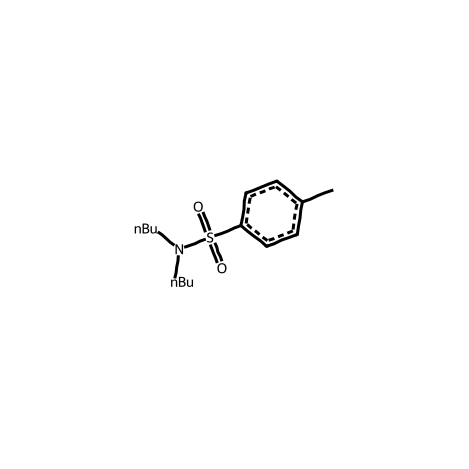 CCCCN(CCCC)S(=O)(=O)c1ccc(C)cc1